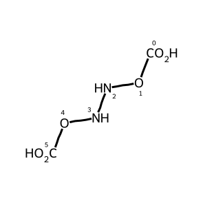 O=C(O)ONNOC(=O)O